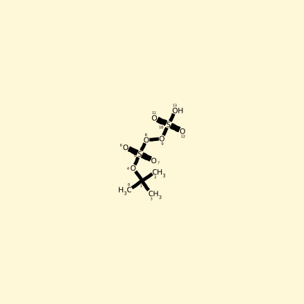 CC(C)(C)OS(=O)(=O)OOS(=O)(=O)O